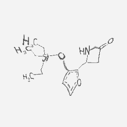 CC[Si](CC)(CC)Oc1ccoc1C1CC(=O)N1